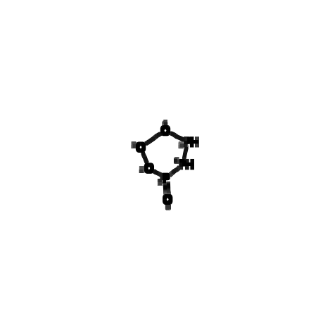 O=[P]1OOOPP1